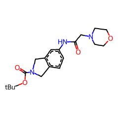 CC(C)(C)OC(=O)N1Cc2ccc(NC(=O)CN3CCOCC3)cc2C1